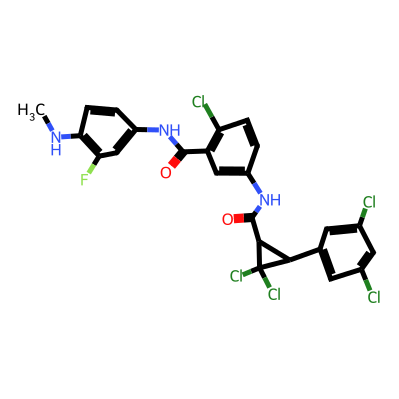 CNc1ccc(NC(=O)c2cc(NC(=O)C3C(c4cc(Cl)cc(Cl)c4)C3(Cl)Cl)ccc2Cl)cc1F